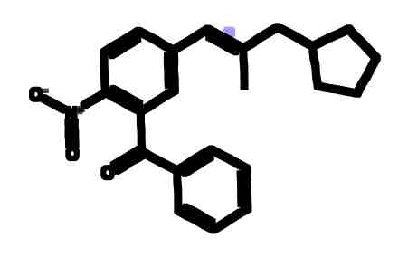 C/C(=C\c1ccc([N+](=O)[O-])c(C(=O)c2ccccc2)c1)CC1CCCC1